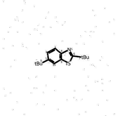 CC(C)(C)c1ccc2nc(C(C)(C)C)sc2c1